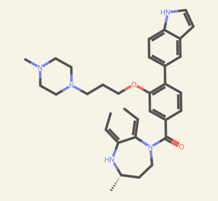 C/C=C1/N[C@@H](C)CCN(C(=O)c2ccc(-c3ccc4[nH]ccc4c3)c(OCCCN3CCN(C)CC3)c2)/C1=C/C